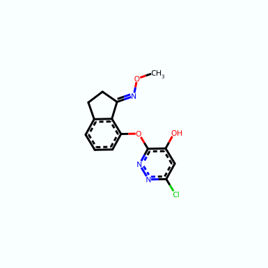 CON=C1CCc2cccc(Oc3nnc(Cl)cc3O)c21